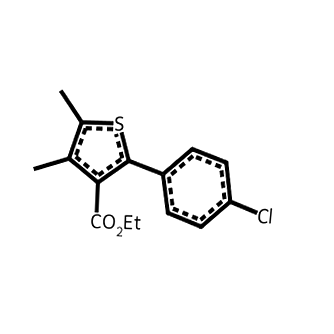 CCOC(=O)c1c(-c2ccc(Cl)cc2)sc(C)c1C